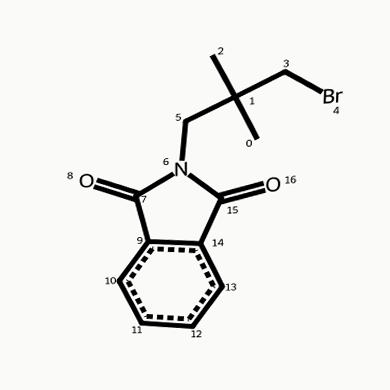 CC(C)(CBr)CN1C(=O)c2ccccc2C1=O